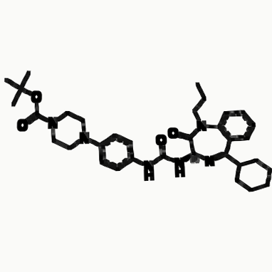 CCCN1C(=O)[C@H](NC(=O)Nc2ccc(N3CCN(C(=O)OC(C)(C)C)CC3)cc2)N=C(C2CCCCC2)c2ccccc21